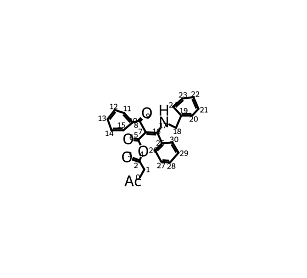 CC(=O)CC(=O)OC(=O)/C(C(=O)c1ccccc1)=C(/NCc1ccccc1)c1ccccc1